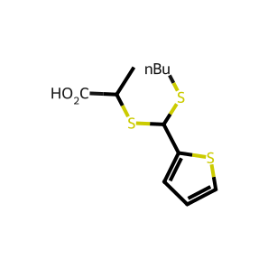 CCCCSC(SC(C)C(=O)O)c1cccs1